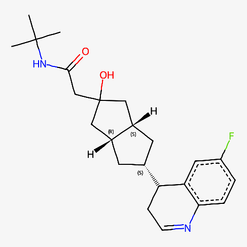 CC(C)(C)NC(=O)CC1(O)C[C@H]2C[C@@H](C3CC=Nc4ccc(F)cc43)C[C@H]2C1